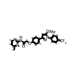 COc1cc(-c2ccc(OCC(=O)Nc3nccc(C)n3)cc2)nn1-c1ccc(C(F)(F)F)cc1